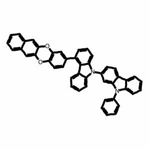 c1ccc(-n2c3ccccc3c3ccc(-n4c5ccccc5c5c(-c6ccc7c(c6)Oc6cc8ccccc8cc6O7)cccc54)cc32)cc1